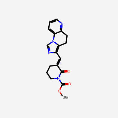 CC(C)(C)OC(=O)N1CCC/C(=C\c2ncn3c2CCc2ncccc2-3)C1=O